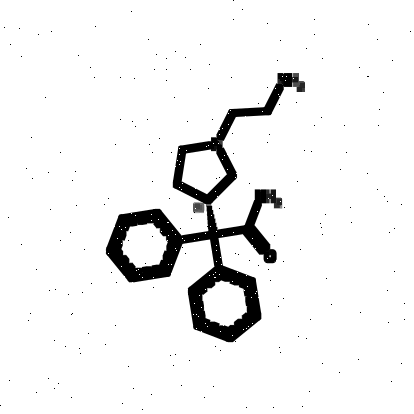 NCCN1CC[C@@H](C(C(N)=O)(c2ccccc2)c2ccccc2)C1